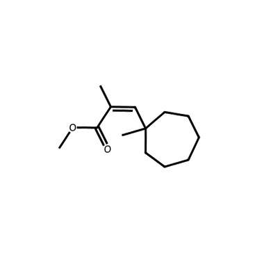 COC(=O)C(C)=CC1(C)CCCCCC1